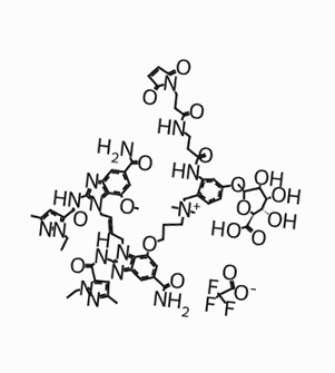 CCn1nc(C)cc1C(=O)Nc1nc2cc(C(N)=O)cc(OC)c2n1C/C=C/Cn1c(NC(=O)c2cc(C)nn2CC)nc2cc(C(N)=O)cc(OCCC[N+](C)(C)Cc3ccc(O[C@@H]4O[C@H](C(=O)O)[C@@H](O)[C@H](O)[C@H]4O)cc3NC(=O)CCNC(=O)CCN3C(=O)C=CC3=O)c21.O=C([O-])C(F)(F)F